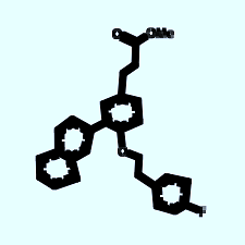 COC(=O)CCc1ccc(OCCc2ccc(F)cc2)c(-c2ccc3ccccc3c2)c1